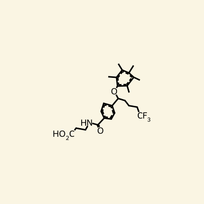 Cc1c(C)c(C)c(OC(CCCC(F)(F)F)c2ccc(C(=O)NCCC(=O)O)cc2)c(C)c1C